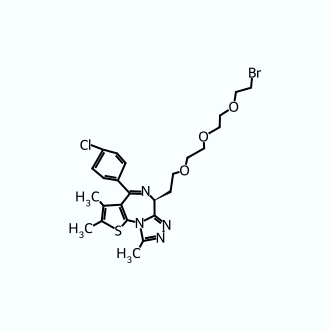 Cc1sc2c(c1C)C(c1ccc(Cl)cc1)=N[C@@H](CCOCCOCCOCCBr)c1nnc(C)n1-2